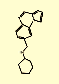 c1cc2cnc3ccc(CNC4CCCCC4)cc3n2c1